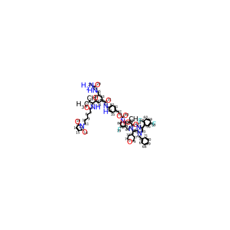 CC(C)[C@H](NC(=O)CCCCCN1C(=O)C=CC1=O)C(=O)C[C@@H](CCCNC(N)=O)C(=O)Nc1ccc(COC(=O)N2C[C@@H](CN(C(=O)[C@H](C)O)[C@@H](c3nc(-c4cc(F)ccc4F)cn3Cc3ccccc3)C3CCOCC3)[C@@H](F)C2)cc1